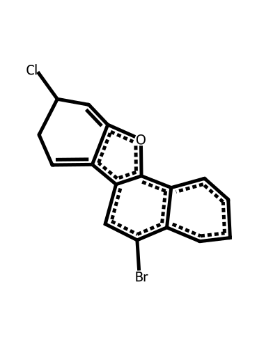 ClC1C=c2oc3c(cc(Br)c4ccccc43)c2=CC1